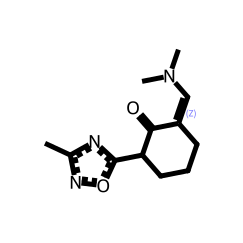 Cc1noc(C2CCC/C(=C/N(C)C)C2=O)n1